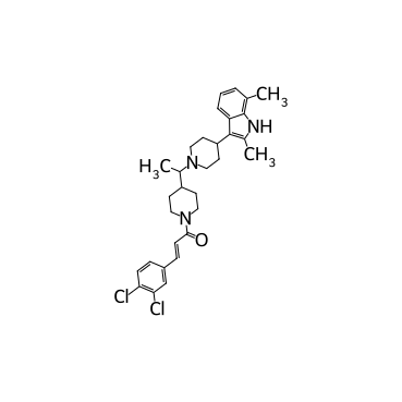 Cc1[nH]c2c(C)cccc2c1C1CCN(C(C)C2CCN(C(=O)C=Cc3ccc(Cl)c(Cl)c3)CC2)CC1